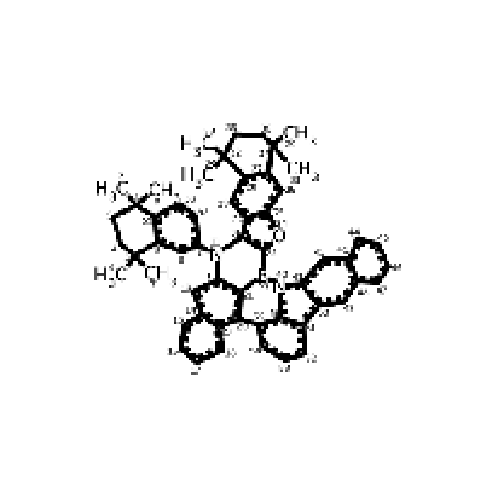 CC1(C)CCC(C)(C)c2cc(N3c4cc5ccccc5c5c4B(c4oc6cc7c(cc6c43)C(C)(C)CCC7(C)C)n3c4cc6ccccc6cc4c4cccc-5c43)ccc21